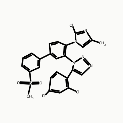 Cc1cn(-c2ccc(-c3cccc(S(C)(=O)=O)c3)cc2-n2nncc2-c2ccc(Cl)cc2Cl)c(Cl)n1